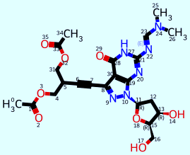 CC(=O)OCC(C#Cc1nn([C@H]2C[C@@H](O)[C@@H](CO)O2)c2nc(/N=C/N(C)C)[nH]c(=O)c12)COC(C)=O